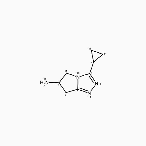 NC1Cc2nnc(C3CC3)n2C1